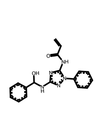 C=CC(=O)Nc1nc(NC(O)c2ccccc2)nn1-c1ccccc1